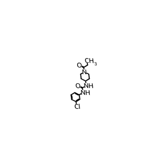 CCC(=O)N1CCC(NC(=O)Nc2cccc(Cl)c2)CC1